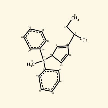 CCC(C)C1=C[C]([Si](C)(c2ccccc2)c2ccccc2)C=C1